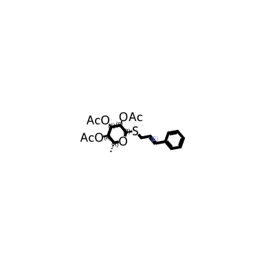 CC(=O)O[C@@H]1[C@H](OC(C)=O)[C@@H](SC/C=C/c2ccccc2)O[C@H](C)[C@H]1OC(C)=O